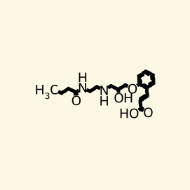 CCCC(=O)NCCNCC(O)COc1ccccc1C=CC(=O)O